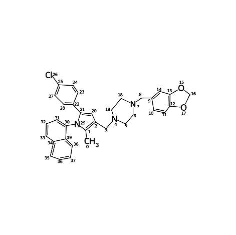 Cc1c(CN2CCN(Cc3ccc4c(c3)OCO4)CC2)cc(-c2ccc(Cl)cc2)n1-c1cccc2ccccc12